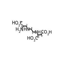 N[C@H](CNCCN[C@@H](CC(=O)O)C(=O)O)C(=O)O